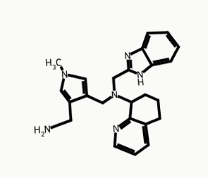 Cn1cc(CN)c(CN(Cc2nc3ccccc3[nH]2)C2CCCc3cccnc32)c1